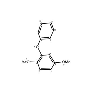 COc1ccc(OC)c(Oc2cc[c]nc2)c1